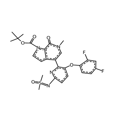 Cn1cc(-c2nc(N=S(C)(C)=O)ccc2Oc2ccc(F)cc2F)c2ccn(C(=O)OC(C)(C)C)c2c1=O